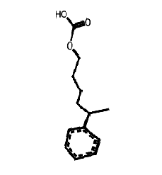 CC(CCCCOC(=O)O)c1ccccc1